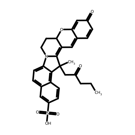 CCCC(=O)CC1(C)C2=C3C=C4C=CC(=O)C=C4OC3CCN2c2ccc3cc(S(=O)(=O)O)ccc3c21